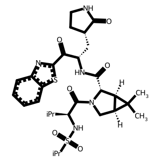 CC(C)[C@H](NS(=O)(=O)C(C)C)C(=O)N1C[C@H]2[C@@H]([C@H]1C(=O)N[C@@H](C[C@@H]1CCNC1=O)C(=O)c1nc3ccccc3s1)C2(C)C